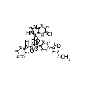 CCCCC(C=O)c1ccc(S(=O)(=O)NC(=O)NC2CCCCC2)cc1.O=c1[nH]cnc2ccc(Cl)cc12